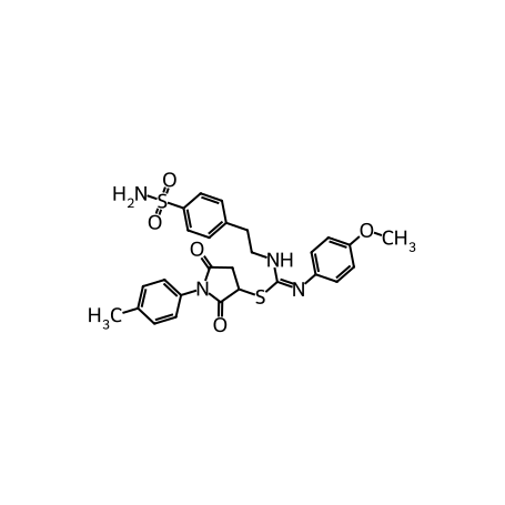 COc1ccc(/N=C(\NCCc2ccc(S(N)(=O)=O)cc2)SC2CC(=O)N(c3ccc(C)cc3)C2=O)cc1